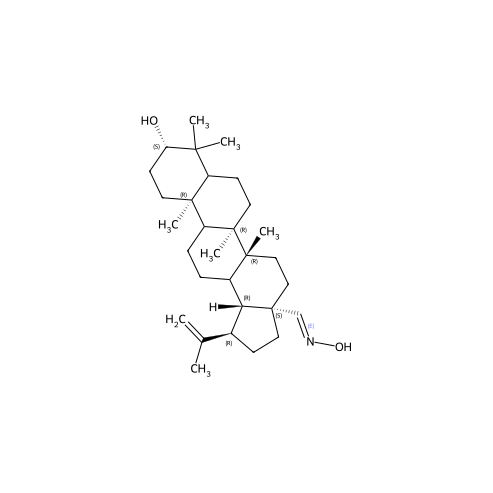 C=C(C)[C@@H]1CC[C@]2(/C=N/O)CC[C@]3(C)C(CCC4[C@@]5(C)CC[C@H](O)C(C)(C)C5CC[C@]43C)[C@@H]12